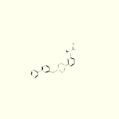 CCCCCCCCCCOC(C(=O)OCC)n1c(=O)oc2c(N3CCN(Cc4cccc(-c5ccccc5)c4)CC3)cccc21